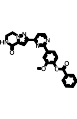 COc1cc(-c2nccc(-c3cc4n(n3)CCNC4=O)n2)ccc1OC(=O)c1ccccc1